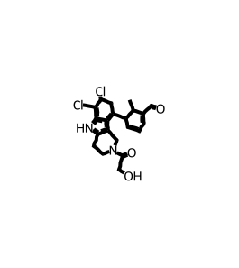 CC1C(C=O)=CC=CC1C1=c2c3c([nH]c2=C(Cl)C(Cl)C1)CCN(C(=O)CO)C3